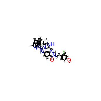 COc1ccc(CCn2cnc3cc(N=C(N[C@@H]4C[C@@H]5C[C@@H]([C@@H]4C)C5(C)C)N4C[C@@H](C)N[C@@H](C)C4)ccc3c2=O)c(F)c1